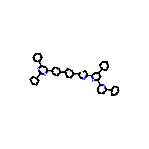 c1ccc(-c2cc(-c3ccc(-c4ccc(-c5ccc(-c6cc(-c7ccccc7)nc(-c7ccccc7)n6)cc5)cc4)cn3)nc(-c3cccc(-c4ccccc4)n3)c2)cc1